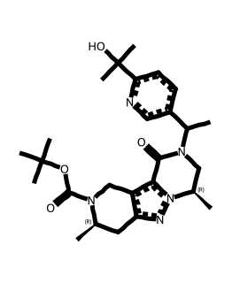 CC(c1ccc(C(C)(C)O)nc1)N1C[C@@H](C)n2nc3c(c2C1=O)CN(C(=O)OC(C)(C)C)[C@H](C)C3